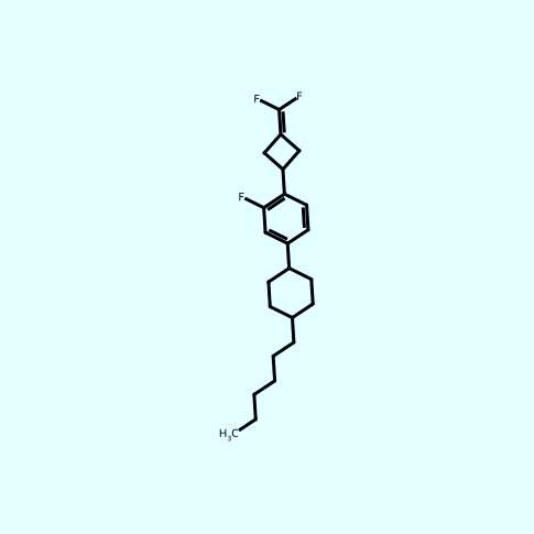 CCCCCCC1CCC(c2ccc(C3CC(=C(F)F)C3)c(F)c2)CC1